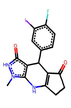 Cn1[nH]c(=O)c2c1NC1=C(C(=O)CC1)C2c1ccc(F)c(I)c1